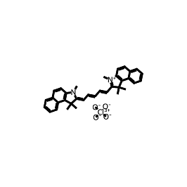 CN1\C(=C/C=C/C=C/C2=[N+](C)c3ccc4ccccc4c3C2(C)C)C(C)(C)c2c1ccc1ccccc21.[O-][Cl+3]([O-])([O-])[O-]